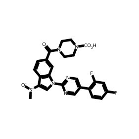 C[S+]([O-])c1cn(-c2ncc(-c3ccc(F)cc3F)cn2)c2cc(C(=O)N3CCN(C(=O)O)CC3)ccc12